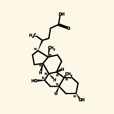 CC(CCC(=O)O)[C@H]1CC[C@H]2[C@@H]3[C@H](O)C[C@@H]4C[C@@H](O)CC[C@]4(C)[C@H]3CC[C@]12C